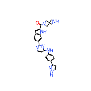 O=C(c1cc2ccc(-c3nccc(Nc4ccc(-c5cc[nH]n5)cc4)n3)cc2[nH]1)N1CC2(CNC2)C1